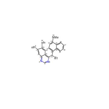 CCCc1cc2ncnc(C(CC)c3ccc(NC)c4ccccc34)c2cc1CCC